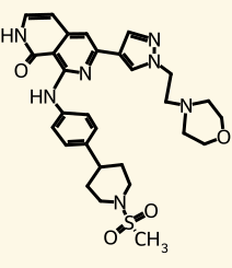 CS(=O)(=O)N1CCC(c2ccc(Nc3nc(-c4cnn(CCN5CCOCC5)c4)cc4cc[nH]c(=O)c34)cc2)CC1